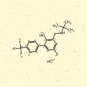 CC(C)(C)NCc1cc(F)cc(-c2ccc(C(F)(F)F)nc2)c1O.Cl